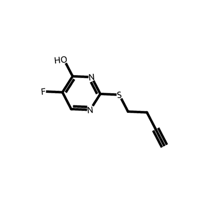 C#CCCSc1ncc(F)c(O)n1